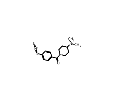 CN(C)C1CCN(C(=O)c2ccc(N=[N+]=[N-])cc2)CC1